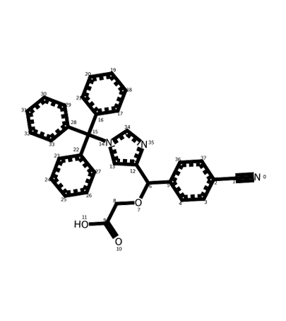 N#Cc1ccc(C(OCC(=O)O)c2cn(C(c3ccccc3)(c3ccccc3)c3ccccc3)cn2)cc1